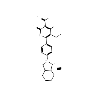 CCc1c(-c2ccc(N3C[C@@H]4CCCC[C@]4(C#N)C3)cc2)[nH]c(=O)c(C(=O)O)c1O